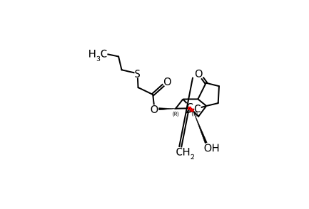 C=C1C[C@@H](OC(=O)CSCCC)C2CCCC3(CCC(=O)C23)C[C@@H]1O